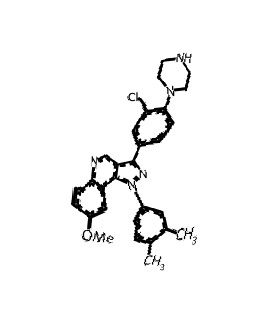 COc1ccc2ncc3c(-c4ccc(N5CCNCC5)c(Cl)c4)nn(-c4ccc(C)c(C)c4)c3c2c1